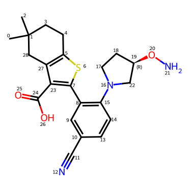 CC1(C)CCc2sc(-c3cc(C#N)ccc3N3CC[C@@H](ON)C3)c(C(=O)O)c2C1